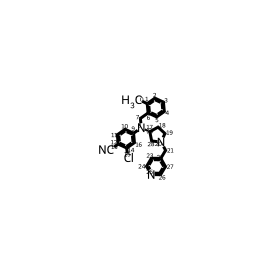 Cc1ccccc1CN(c1ccc(C#N)c(Cl)c1)[C@H]1CCN(Cc2ccncc2)C1